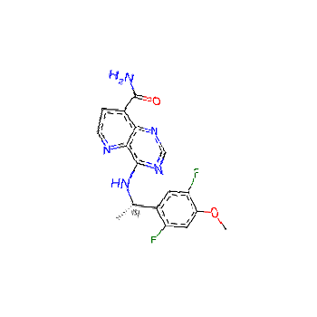 COc1cc(F)c([C@H](C)Nc2ncnc3c(C(N)=O)ccnc23)cc1F